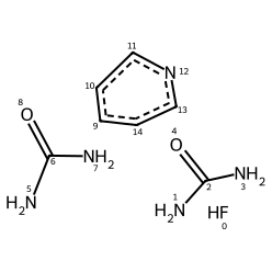 F.NC(N)=O.NC(N)=O.c1ccncc1